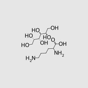 NCCCCC(N)C(=O)O.OC[C@@H](O)[C@H](O)[C@H](O)[C@@H](O)CO